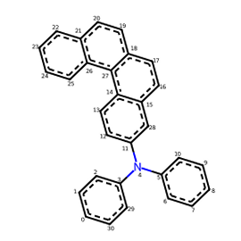 c1ccc(N(c2ccccc2)c2ccc3c(ccc4ccc5ccccc5c43)c2)cc1